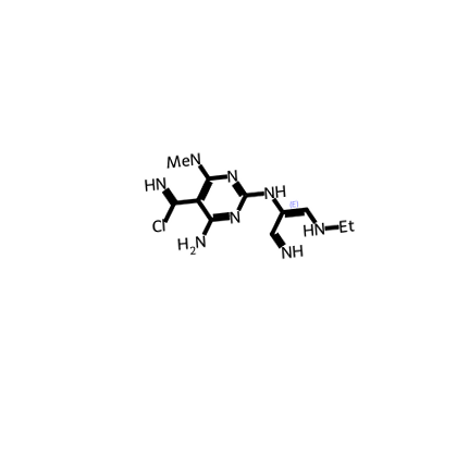 CCN/C=C(\C=N)Nc1nc(N)c(C(=N)Cl)c(NC)n1